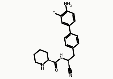 N#C[C@H](Cc1ccc(-c2ccc(N)c(F)c2)cc1)NC(=O)[C@@H]1CCCCN1